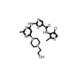 Cc1nc(Nc2ncc(C(=O)Nc3c(Cl)csc3C)s2)cc(N2CCN(CCO)CC2)n1